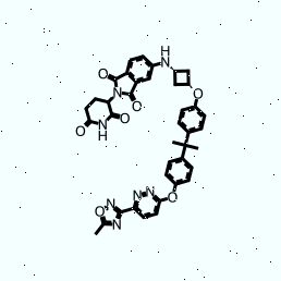 Cc1nc(-c2ccc(Oc3ccc(C(C)(C)c4ccc(O[C@H]5C[C@@H](Nc6ccc7c(c6)C(=O)N(C6CCC(=O)NC6=O)C7=O)C5)cc4)cc3)nn2)no1